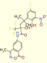 Cc1noc(=O)c2ccc(NC(=O)C(O)(CC(C)(C)c3cc(F)cc([N+](=O)[O-])c3O)C(F)(F)F)cc12